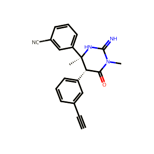 C#Cc1cccc([C@H]2C(=O)N(C)C(=N)N[C@]2(C)c2cccc(C#N)c2)c1